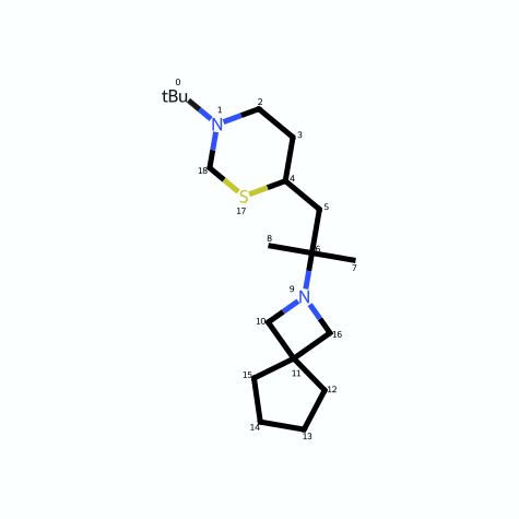 CC(C)(C)N1CCC(CC(C)(C)N2CC3(CCCC3)C2)SC1